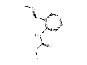 C/N=C/c1ccccc1NC(=O)OC